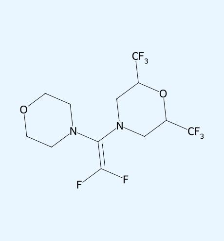 FC(F)=C(N1CCOCC1)N1CC(C(F)(F)F)OC(C(F)(F)F)C1